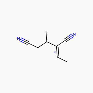 C/C=C(\C#N)C(C)CC#N